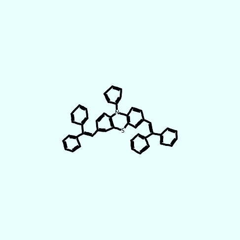 C(=C(c1ccccc1)c1ccccc1)c1ccc2c(c1)Sc1cc(C=C(c3ccccc3)c3ccccc3)ccc1N2c1ccccc1